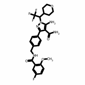 COc1ccc(F)cc1C(=O)NCc1ccc(-c2nn(C(C3CCOCC3)C(F)(F)F)c(N)c2C(N)=O)cc1